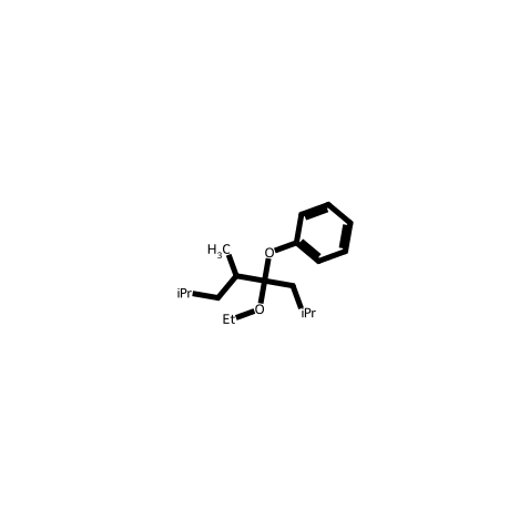 CCOC(CC(C)C)(Oc1ccccc1)[C](C)CC(C)C